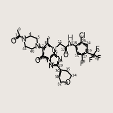 CC(=O)N1CCN(c2c(C)n(CC(=O)Nc3cc(F)c(C(F)(F)F)cc3Cl)c3nc(C4=CCOCC4)nn3c2=O)CC1